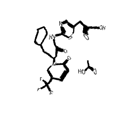 CC(=O)O.O=C(O)Cc1cnc(NC(=O)C(CC2CCCC2)n2cc(C(F)(F)F)ccc2=O)s1